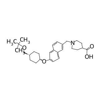 CC(C)(C)OC[C@H]1CC[C@@H](Oc2ccc3cc(CN4CCC(C(=O)O)CC4)ccc3c2)CC1